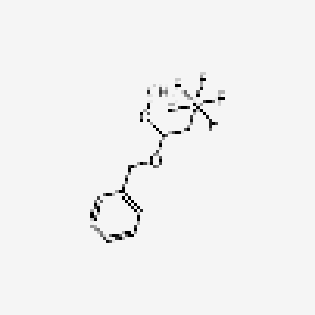 COC(CS(F)(F)(F)(F)F)OCc1ccccc1